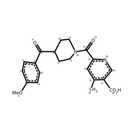 COc1ccc(C(=O)C2CCN(C(=O)c3cc(C)c(C(=O)O)cn3)CC2)cc1